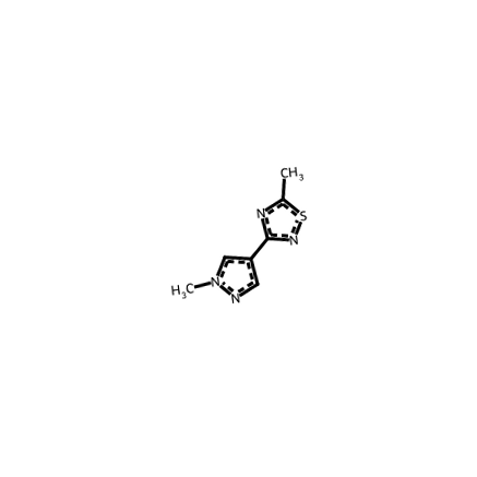 Cc1nc(-c2cnn(C)c2)ns1